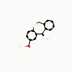 C=C1c2ccccc2COc2ccc(C(=O)O)cc21